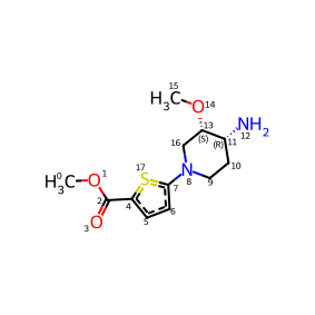 COC(=O)c1ccc(N2CC[C@@H](N)[C@@H](OC)C2)s1